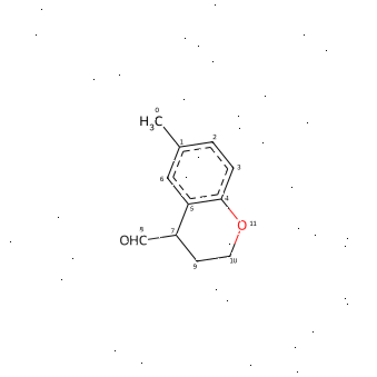 Cc1ccc2c(c1)C(C=O)CCO2